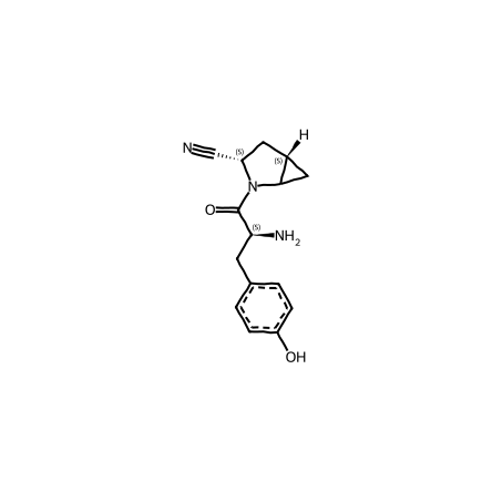 N#C[C@@H]1C[C@@H]2CC2N1C(=O)[C@@H](N)Cc1ccc(O)cc1